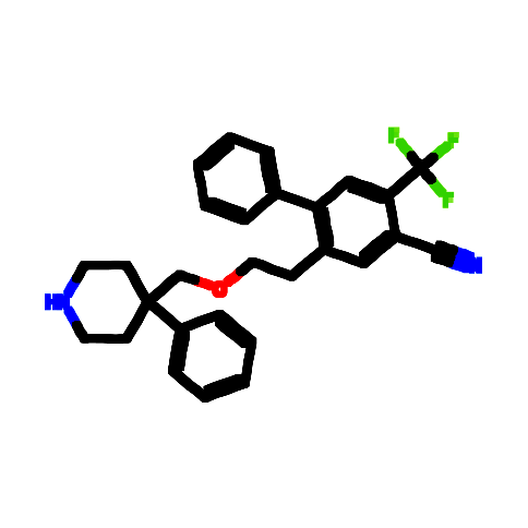 N#Cc1cc(CCOCC2(c3ccccc3)CCNCC2)c(-c2ccccc2)cc1C(F)(F)F